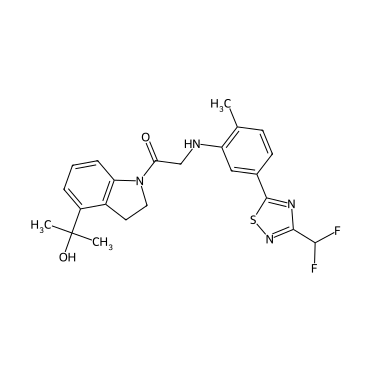 Cc1ccc(-c2nc(C(F)F)ns2)cc1NCC(=O)N1CCc2c1cccc2C(C)(C)O